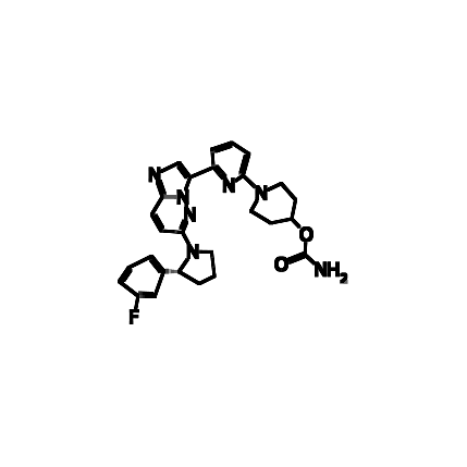 NC(=O)OC1CCN(c2cccc(-c3cnc4ccc(N5CCC[C@@H]5c5cccc(F)c5)nn34)n2)CC1